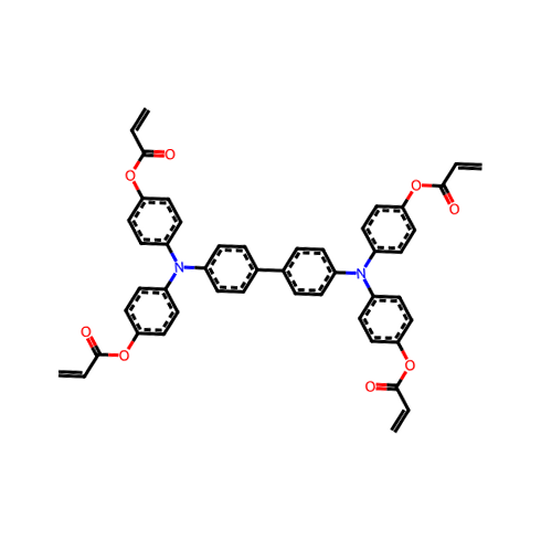 C=CC(=O)Oc1ccc(N(c2ccc(OC(=O)C=C)cc2)c2ccc(-c3ccc(N(c4ccc(OC(=O)C=C)cc4)c4ccc(OC(=O)C=C)cc4)cc3)cc2)cc1